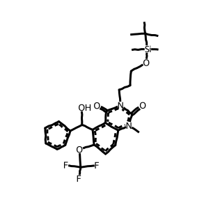 Cn1c(=O)n(CCCO[Si](C)(C)C(C)(C)C)c(=O)c2c(C(O)c3ccccc3)c(OC(F)(F)F)ccc21